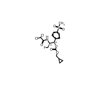 CS(=O)(=O)c1ccc([C@@H](OC(=O)OCC2CC2)[C@@H](CF)NC(=O)C(Cl)Cl)cc1